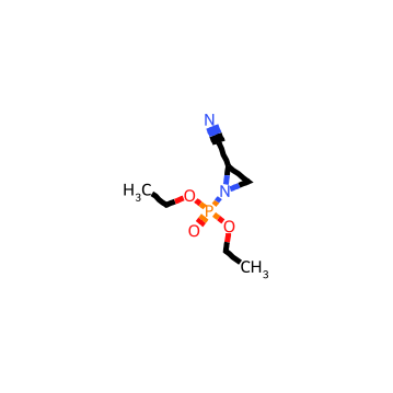 CCOP(=O)(OCC)N1CC1C#N